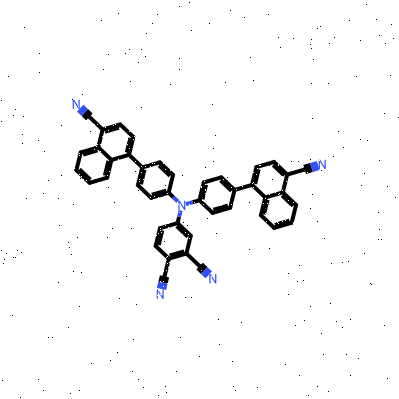 N#Cc1ccc(N(c2ccc(-c3ccc(C#N)c4ccccc34)cc2)c2ccc(-c3ccc(C#N)c4ccccc34)cc2)cc1C#N